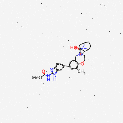 COC(=O)Nc1nc2ccc(-c3cc(C)c4c(c3)CN(C(=O)N3C5CCC3CC(O)(C(F)(F)F)C5)CCO4)cc2[nH]1